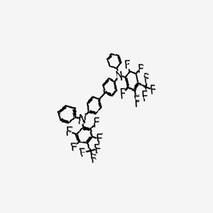 FC1=C(N(c2ccc(-c3ccc(N(c4ccccc4)c4c(F)c(F)c(C(F)(F)F)c(F)c4F)cc3)cc2)C2C=CC=CC2)C(F)C(F)C(C(F)(F)F)=C1F